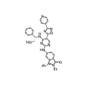 CCn1c(=O)c2ccc(Nc3ncc(-c4nc(-c5ccncc5)no4)c(N[C@H](CO)c4ccccc4)n3)cc2n1C(C)C